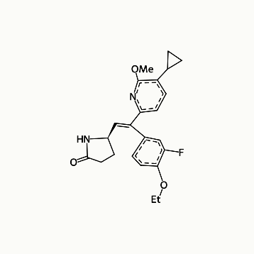 CCOc1ccc(/C(=C\[C@H]2CCC(=O)N2)c2ccc(C3CC3)c(OC)n2)cc1F